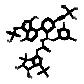 C[C@@H]1c2c(C(F)(F)F)nn(CC(=O)N[C@@H](Cc3cc(F)cc(F)c3)c3nc(C#CC(C)(C)O)ccc3-c3ccc(F)c4c(NS(C)(=O)=O)nn(C)c34)c2C(F)(F)[C@@H]1C